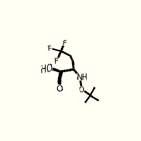 CC(C)(C)ONC(CC(F)(F)F)C(=O)O